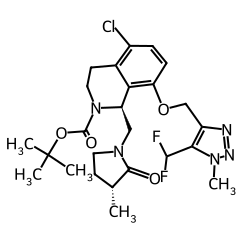 C[C@@H]1CCN(C[C@@H]2c3c(OCc4nnn(C)c4C(F)F)ccc(Cl)c3CCN2C(=O)OC(C)(C)C)C1=O